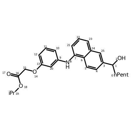 CCCCCC(O)c1ccc2c(Nc3cccc(OCC(=O)OC(C)C)c3)cccc2c1